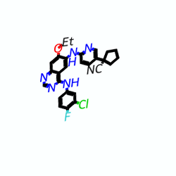 CCOc1cc2ncnc(Nc3ccc(F)c(Cl)c3)c2cc1Nc1ccc(C2(C#N)CCCC2)cn1